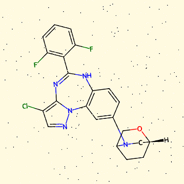 Fc1cccc(F)c1C1=Nc2c(Cl)cnn2-c2cc(N3C[C@H]4CCC3CO4)ccc2N1